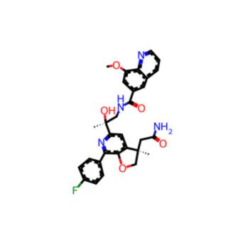 COc1cc(C(=O)NC[C@](C)(O)c2cc3c(c(-c4ccc(F)cc4)n2)OC[C@]3(C)CC(N)=O)cc2cccnc12